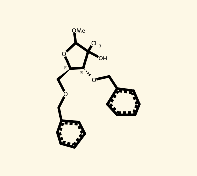 COC1O[C@H](COCc2ccccc2)[C@@H](OCc2ccccc2)C1(C)O